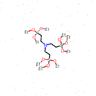 CCO[Si](CCN(CC[Si](OCC)(OCC)OCC)CC[Si](OCC)(OCC)OCC)(OCC)OCC